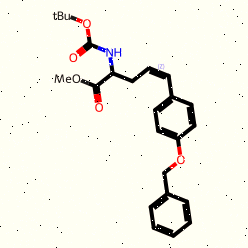 COC(=O)C(C/C=C\c1ccc(OCc2ccccc2)cc1)NC(=O)OC(C)(C)C